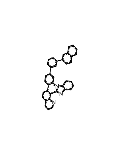 c1cc(-c2ccc3ccccc3c2)cc(-c2ccc3c4ccc5cccnc5c4c4nc5ccccc5n4c3c2)c1